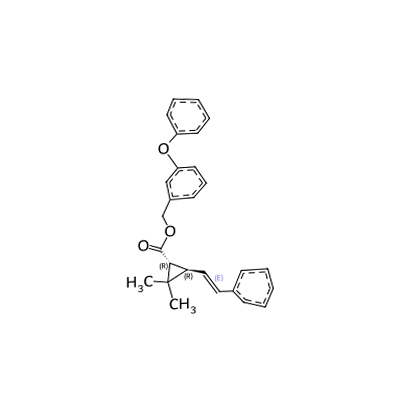 CC1(C)[C@H](/C=C/c2ccccc2)[C@H]1C(=O)OCc1cccc(Oc2ccccc2)c1